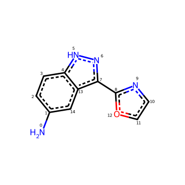 Nc1ccc2[nH]nc(-c3ncco3)c2c1